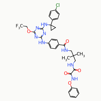 CC(C)(CNC(=O)C(=O)NOc1ccccc1)CNC(=O)c1ccc(Nc2nc(NC3(c4ccc(Cl)cc4)CC3)nc(OCC(F)(F)F)n2)cc1